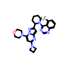 Cc1cccc2ncnc(N3CCCCC3c3cc4nc(N5CCC5)cc(N5CCOCC5)n4n3)c12